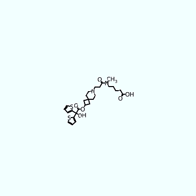 CN(CCCCC(=O)O)C(=O)CCN1CCC2(CC1)CC(OC(=O)C(O)(c1cccs1)c1cccs1)C2